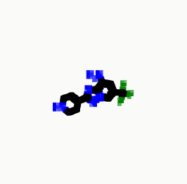 Nc1cc(C(F)(F)F)cn2nc(C3=CCNCC3)nc12